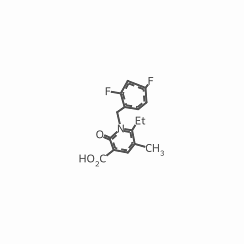 CCc1c(C)cc(C(=O)O)c(=O)n1Cc1ccc(F)cc1F